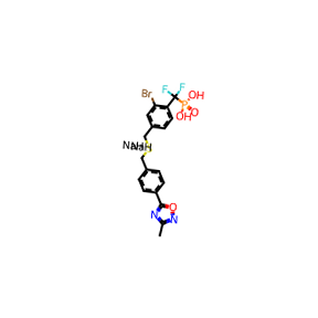 Cc1noc(-c2ccc(CSCc3ccc(C(F)(F)P(=O)(O)O)c(Br)c3)cc2)n1.[NaH].[NaH]